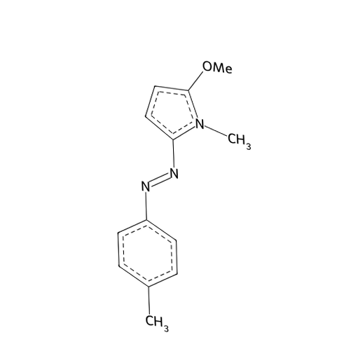 COc1ccc(/N=N/c2ccc(C)cc2)n1C